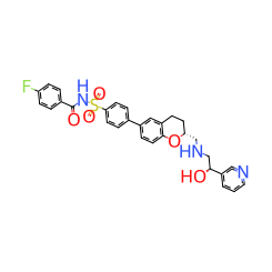 O=C(NS(=O)(=O)c1ccc(-c2ccc3c(c2)CC[C@H](CNC[C@H](O)c2cccnc2)O3)cc1)c1ccc(F)cc1